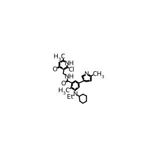 CCN(c1cc(-c2ccc(C)nc2)cc(C(=O)NCc2c(Cl)[nH]c(C)cc2=O)c1C)C1CCCCC1